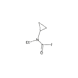 CCN(C(=O)I)C1CC1